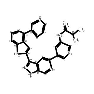 C=C(Nc1cncc(-c2cc3c(-c4cc5c(-c6cccnc6)cccc5[nH]4)n[nH]c3cn2)c1)C(C)C